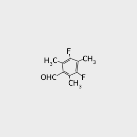 Cc1c(F)c(C)c(C=O)c(C)c1F